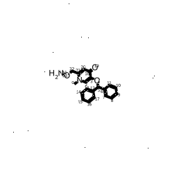 Cn1cc(OC(c2ccccc2)c2ccccc2)c(=O)cc1CON